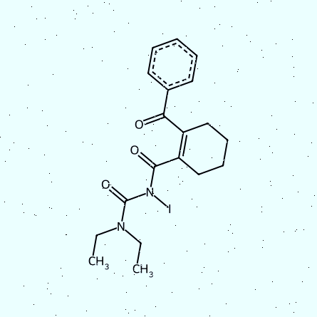 CCN(CC)C(=O)N(I)C(=O)C1=C(C(=O)c2ccccc2)CCCC1